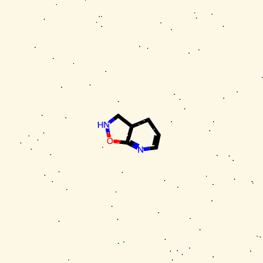 C1=CN=C2ONCC2C1